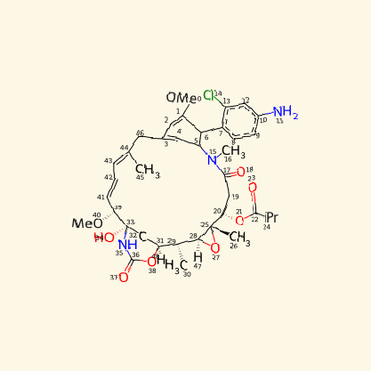 COC1=CC2=CC(C1c1ccc(N)cc1Cl)N(C)C(=O)C[C@H](OC(=O)C(C)C)[C@]1(C)O[C@H]1[C@H](C)[C@@H]1C[C@@](O)(NC(=O)O1)[C@H](OC)/C=C/C=C(\C)C2